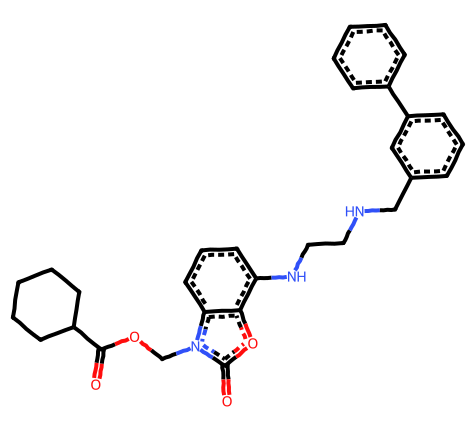 O=C(OCn1c(=O)oc2c(NCCNCc3cccc(-c4ccccc4)c3)cccc21)C1CCCCC1